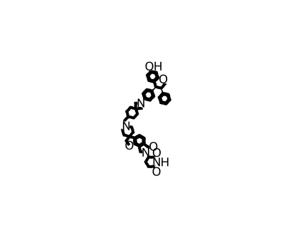 O=C1CC[C@@H](N2Cc3c(ccc4c3OCC43CCN(CC4CCC5(CC4)CN(c4ccc([C@H]6c7ccc(O)cc7OC[C@H]6c6ccccc6)cc4)C5)CC3)C2=O)C(=O)N1